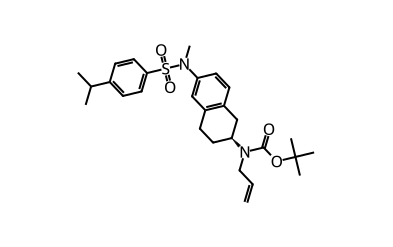 C=CCN(C(=O)OC(C)(C)C)[C@H]1CCc2cc(N(C)S(=O)(=O)c3ccc(C(C)C)cc3)ccc2C1